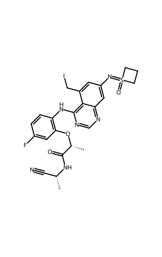 C[C@H](C#N)NC(=O)[C@@H](C)Oc1cc(F)ccc1Nc1ncnc2cc(N=S3(=O)CCC3)cc(CI)c12